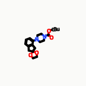 CC(C)(C)OC(=O)N1CCN(c2cccc3c2CC2(C3)OCCO2)CC1